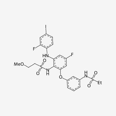 CCS(=O)(=O)Nc1cccc(Oc2cc(F)cc(Nc3ccc(I)cc3F)c2NS(=O)(=O)CCOC)c1